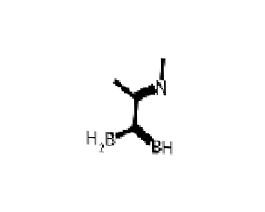 B=C(B)/C(C)=N/C